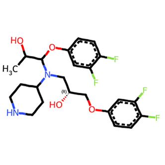 CC(O)C(Oc1ccc(F)c(F)c1)N(C[C@@H](O)COc1ccc(F)c(F)c1)C1CCNCC1